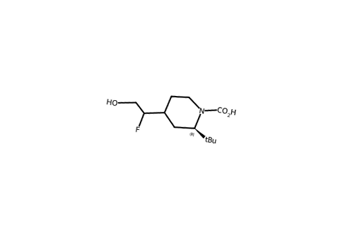 CC(C)(C)[C@H]1CC(C(F)CO)CCN1C(=O)O